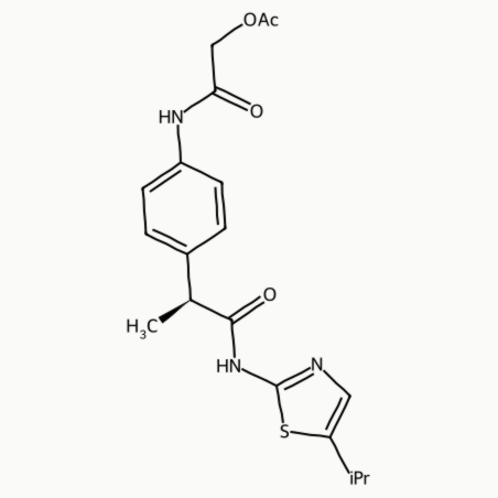 CC(=O)OCC(=O)Nc1ccc([C@H](C)C(=O)Nc2ncc(C(C)C)s2)cc1